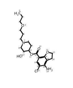 CCCOCCCN1CCC(OC(=O)c2cc(Cl)c(N)c3c2OCC3)CC1.Cl